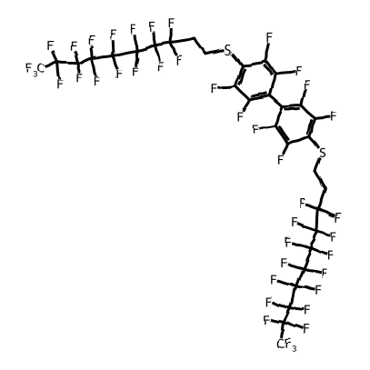 Fc1c(F)c(-c2c(F)c(F)c(SCCC(F)(F)C(F)(F)C(F)(F)C(F)(F)C(F)(F)C(F)(F)C(F)(F)C(F)(F)F)c(F)c2F)c(F)c(F)c1SCCC(F)(F)C(F)(F)C(F)(F)C(F)(F)C(F)(F)C(F)(F)C(F)(F)C(F)(F)F